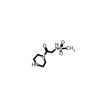 CS(=O)(=O)NCC(=O)N1CCNCC1